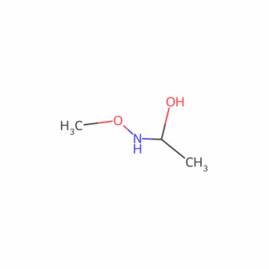 CONC(C)O